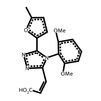 COc1cccc(OC)c1-n1c(/C=C\C(=O)O)nnc1-c1ccc(C)o1